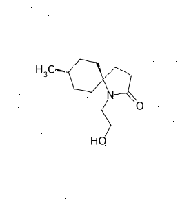 C[C@H]1CC[C@]2(CCC(=O)N2CCO)CC1